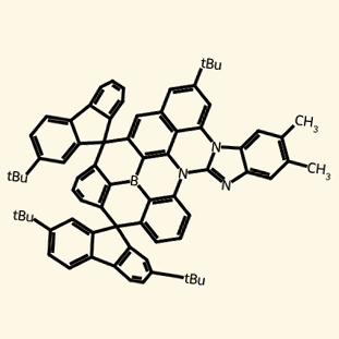 Cc1cc2nc3n4c5c6c(cc7cc(C(C)(C)C)cc(c75)n3c2cc1C)C1(c2ccccc2-c2ccc(C(C)(C)C)cc21)c1cccc2c1B6c1c-4cccc1C21c2cc(C(C)(C)C)ccc2-c2ccc(C(C)(C)C)cc21